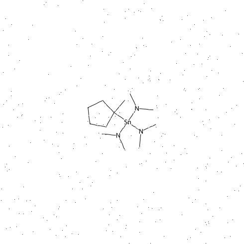 C[N](C)[Sn]([N](C)C)([N](C)C)[C]1(C)CCCC1